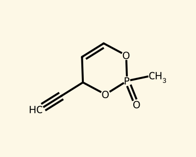 C#CC1C=COP(C)(=O)O1